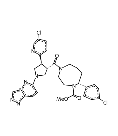 COC(=O)N1CCN(C(=O)[C@@H]2CN(c3ccc4nncn4n3)C[C@H]2c2ccc(Cl)cn2)CCC[C@@H]1c1ccc(Cl)cc1